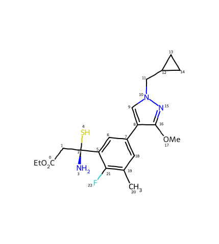 CCOC(=O)C[C@](N)(S)c1cc(-c2cn(CC3CC3)nc2OC)cc(C)c1F